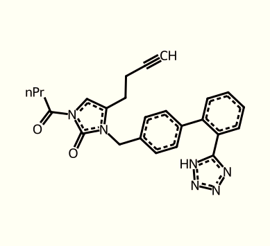 C#CCCc1cn(C(=O)CCC)c(=O)n1Cc1ccc(-c2ccccc2-c2nnn[nH]2)cc1